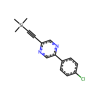 C[Si](C)(C)C#Cc1cnc(-c2ccc(Cl)cc2)cn1